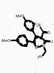 COc1ccc(-c2nn(CC(C)C)c(=O)c(C(N)=O)c2-c2ccc(OC)cc2)cc1